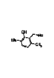 CCC(C)Cc1c(C)ccc(C(C)(C)C)c1O